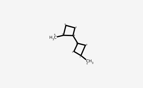 CC1C[C](C2CCC2C)C1